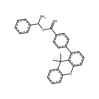 CC1(C)c2ccccc2Oc2cccc(-c3ccc(C(=N)OC(N)c4ccccc4)cc3)c21